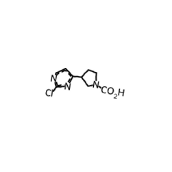 O=C(O)N1CCC(c2ccnc(Cl)n2)C1